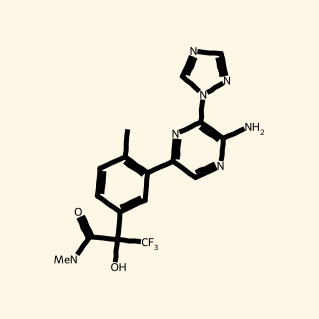 CNC(=O)C(O)(c1ccc(C)c(-c2cnc(N)c(-n3cncn3)n2)c1)C(F)(F)F